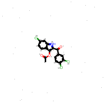 CC(=O)Oc1c(C(=O)c2ccc(Cl)c(Cl)c2)[nH]c2cc(Cl)ccc12